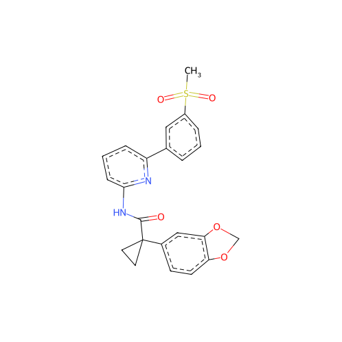 CS(=O)(=O)c1cccc(-c2cccc(NC(=O)C3(c4ccc5c(c4)OCO5)CC3)n2)c1